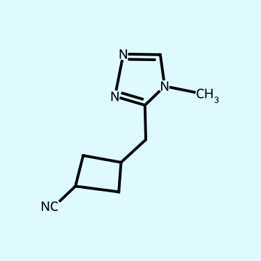 Cn1cnnc1CC1CC(C#N)C1